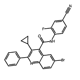 N#Cc1ccc(NC(=O)c2c(C3CC3)c(-c3ccccc3)nc3ccc(Br)cc23)c(F)c1